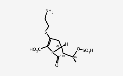 C[C@H](OS(=O)(=O)O)[C@@H]1C(=O)N2C(C(=O)O)=C(SCCN)C[C@H]12